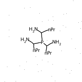 CCCC(N)P(C(N)CCC)C(N)CCC